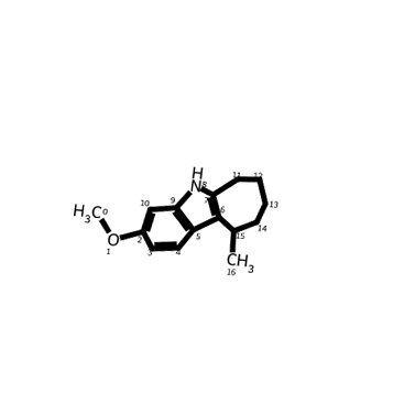 COc1ccc2c3c([nH]c2c1)CCCCC3C